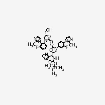 Cc1nccn1-c1c(F)cccc1N1C[C@H](CO)OC1=O.Cc1nccn1-c1ccc(N2C[C@H](C(NC(=O)OC(C)(C)C)c3ccon3)OC2=O)cc1F